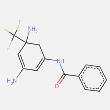 NC1=CC(N)(C(F)(F)F)CC(NC(=O)c2ccccc2)=C1